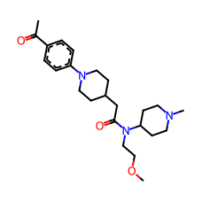 COCCN(C(=O)CC1CCN(c2ccc(C(C)=O)cc2)CC1)C1CCN(C)CC1